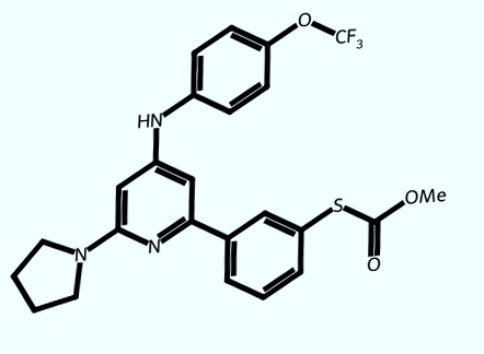 COC(=O)Sc1cccc(-c2cc(Nc3ccc(OC(F)(F)F)cc3)cc(N3CCCC3)n2)c1